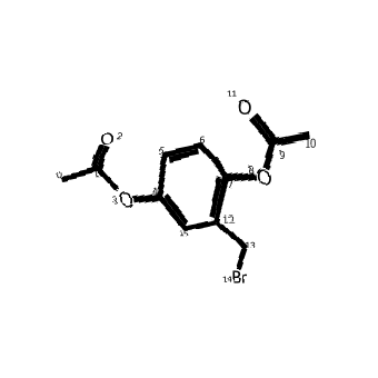 CC(=O)Oc1ccc(OC(C)=O)c(CBr)c1